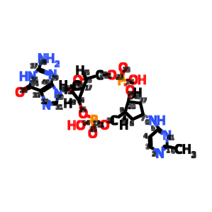 Cc1nccc(N[C@@H]2C[C@@H]3COP(=O)(O)O[C@@H]4[C@H](C)[C@@H](COP(=O)(O)O[C@H]3C2)O[C@H]4n2cnc3c(=O)[nH]c(N)nc32)n1